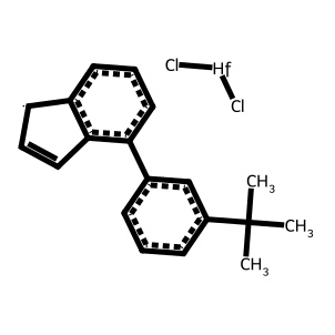 CC(C)(C)c1cccc(-c2cccc3c2C=C[CH]3)c1.[Cl][Hf][Cl]